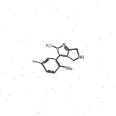 COc1ccc(C(C)C)cc1-c1c2c(nn1C)CNC2